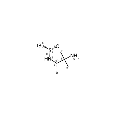 C[C@H](N[S@+]([O-])C(C)(C)C)C(C)(C)N